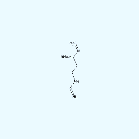 C=NC(=N)CCNC=N